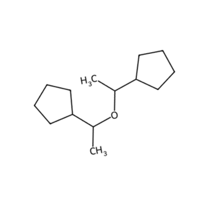 CC(OC(C)C1CCCC1)C1CCCC1